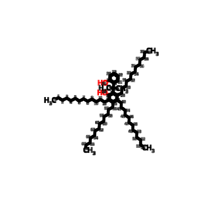 CCCCCCCCCCCCCc1c(O)c(C(C)(C)c2ccccc2O)c(CCCCCCCCCCCCC)c(CCCCCCCCCCCCC)c1CCCCCCCCCCCCC